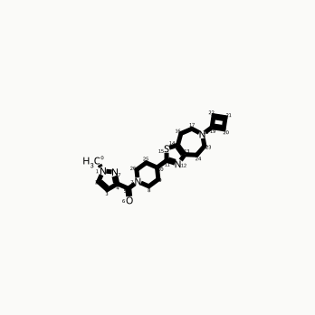 Cn1ccc(C(=O)N2CCC(c3nc4c(s3)CCN(C3=CC=C3)CC4)CC2)n1